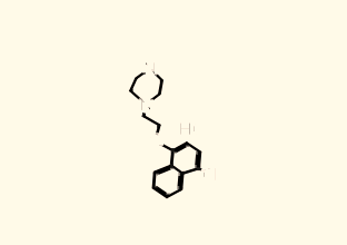 Cl.Clc1ccc(OCCN2CCNCC2)c2ccccc12